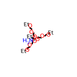 CCOCCOCCO[Si](OCCOCCOCC)(OCCOCCOCC)C(N)CC